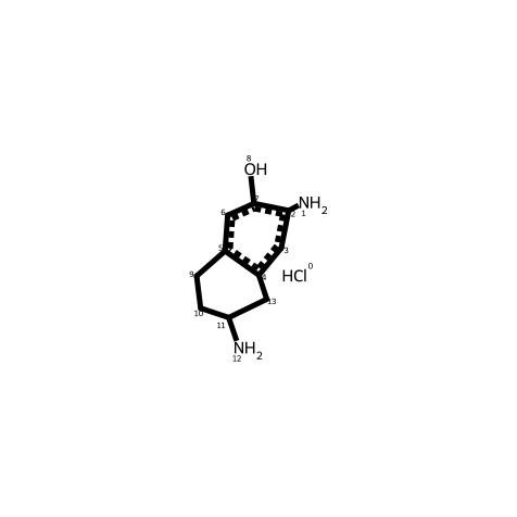 Cl.Nc1cc2c(cc1O)CCC(N)C2